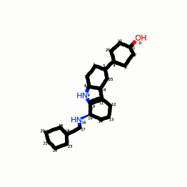 OC1CCC(C2CCC3NC4=C(CCC[C@H]4NCC4CCCCC4)C3C2)CC1